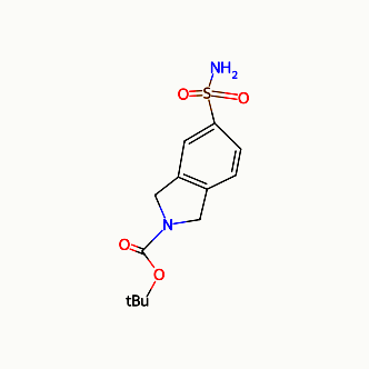 CC(C)(C)OC(=O)N1Cc2ccc(S(N)(=O)=O)cc2C1